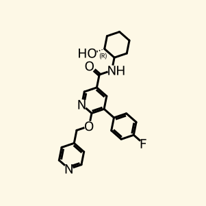 O=C(NC1CCCC[C@H]1O)c1cnc(OCc2ccncc2)c(-c2ccc(F)cc2)c1